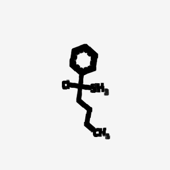 CCCCC([SiH3])(Cl)c1ccccc1